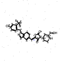 O=C1S/C(=C\c2ccc3c(cnn3Cc3ccc(Cl)cc3C(F)(F)F)c2)C(=O)N1[C@H]1CCN[C@H](CO)C1